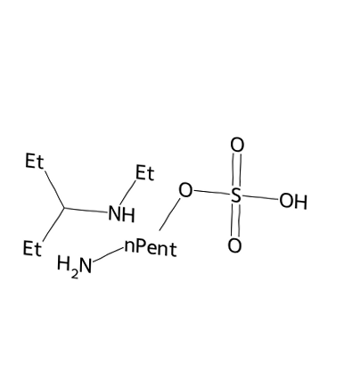 CCCCCN.CCNC(CC)CC.COS(=O)(=O)O